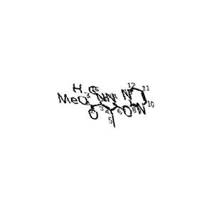 COC(=O)c1c(I)c(Oc2ncccn2)nn1C